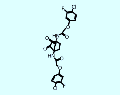 O=C(COc1ccc(Cl)c(F)c1)NC12CC[C@@](NC(=O)COc3ccc(Cl)c(F)c3)(CC1=O)C(=O)C2